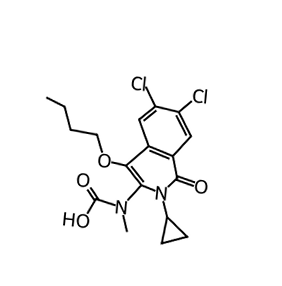 CCCCOc1c(N(C)C(=O)O)n(C2CC2)c(=O)c2cc(Cl)c(Cl)cc12